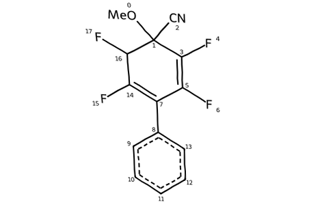 COC1(C#N)C(F)=C(F)C(c2ccccc2)=C(F)C1F